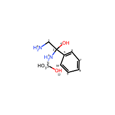 NCC(N)(O)c1ccccc1.O=S(=O)(O)O